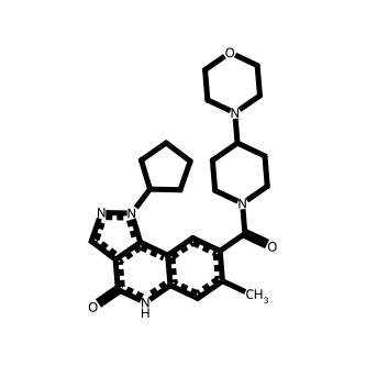 Cc1cc2[nH]c(=O)c3cnn(C4CCCC4)c3c2cc1C(=O)N1CCC(N2CCOCC2)CC1